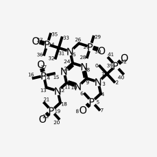 CC(C)(N(CP(C)(C)=O)c1nc(N(CP(C)(C)=O)CP(C)(C)=O)nc(N(CP(C)(C)=O)C(C)(C)P(C)(C)=O)n1)P(C)(C)=O